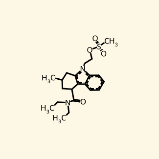 CCN(CC)C(=O)C1CC(C)Cc2c1c1ccccc1n2CCOS(C)(=O)=O